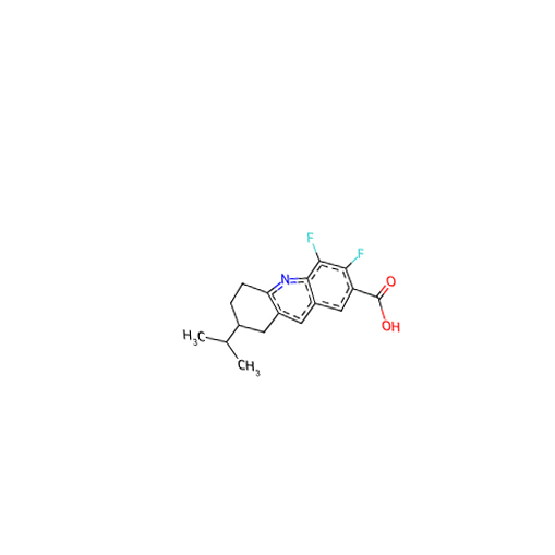 CC(C)C1CCc2nc3c(F)c(F)c(C(=O)O)cc3cc2C1